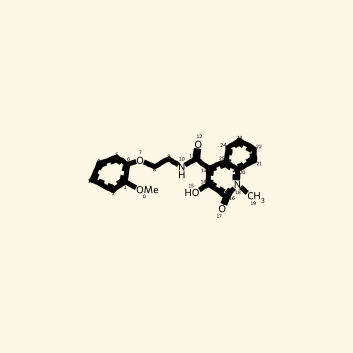 COc1ccccc1OCCNC(=O)c1c(O)c(=O)n(C)c2ccccc12